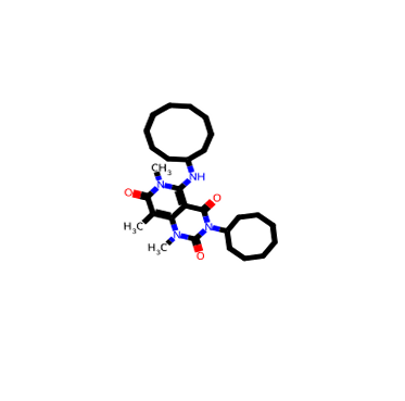 Cc1c(=O)n(C)c(NC2CCCCCCCCC2)c2c(=O)n(C3CCCCCCC3)c(=O)n(C)c12